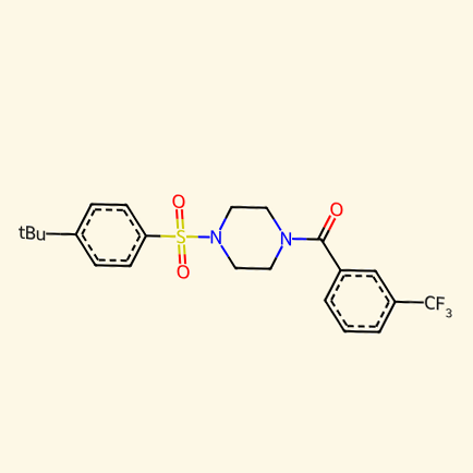 CC(C)(C)c1ccc(S(=O)(=O)N2CCN(C(=O)c3cccc(C(F)(F)F)c3)CC2)cc1